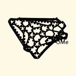 COc1ccccc1CC12c3c4c5c6c7c8c9c%10c(c1c1c%11c2c2c%12c3c5c3c5c%12c%12c2c2c%11c%11c%13c1c%10c1c%10c9c9c7c7c6c3c3c5c5c%12c6c2c%11c2c(c%131)c1c%10c9c9c7c3c3c9c1c2c6c53)C48N1CCOCC1